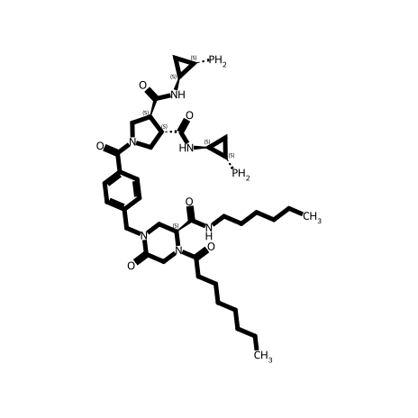 CCCCCCCC(=O)N1CC(=O)N(Cc2ccc(C(=O)N3C[C@@H](C(=O)N[C@H]4C[C@@H]4P)[C@H](C(=O)N[C@H]4C[C@@H]4P)C3)cc2)C[C@H]1C(=O)NCCCCCC